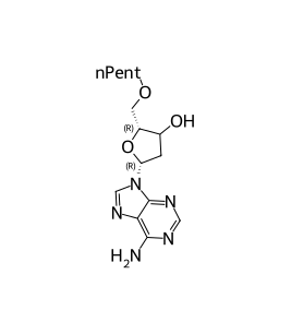 CCCCCOC[C@H]1O[C@@H](n2cnc3c(N)ncnc32)CC1O